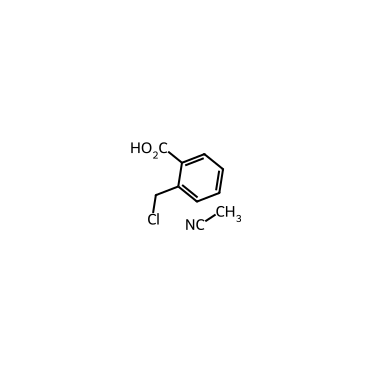 CC#N.O=C(O)c1ccccc1CCl